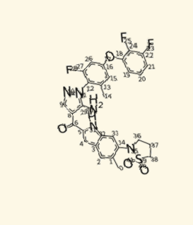 Cc1cc2cc(C(=O)c3cnn(-c4c(C)cc(Oc5cccc(F)c5F)cc4F)c3N)[nH]c2cc1N1CCCS1(=O)=O